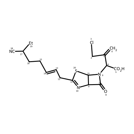 C=C(CCl)C(C(=O)O)N1C(=O)C2N=C(CC=CCCC(C#N)CC)SC21